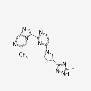 Cc1nc(C2CCN(c3ccnc(-c4cnc5cnc(C(F)(F)F)cn45)n3)C2)n[nH]1